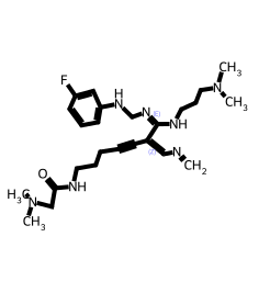 C=N/C=C(C#CCCCNC(=O)CN(C)C)\C(=N/CNc1cccc(F)c1)NCCCN(C)C